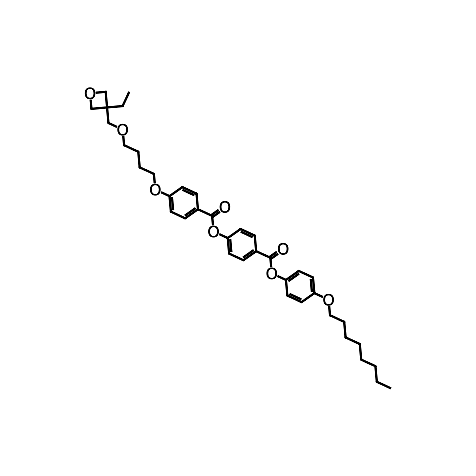 CCCCCCCCOc1ccc(OC(=O)c2ccc(OC(=O)c3ccc(OCCCCOCC4(CC)COC4)cc3)cc2)cc1